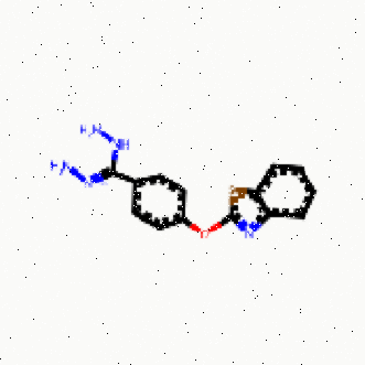 N/N=C(\NN)c1ccc(Oc2nc3ccccc3s2)cc1